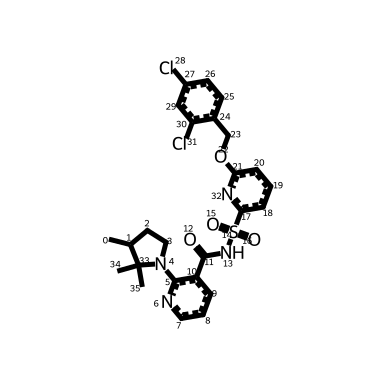 CC1CCN(c2ncccc2C(=O)NS(=O)(=O)c2cccc(OCc3ccc(Cl)cc3Cl)n2)C1(C)C